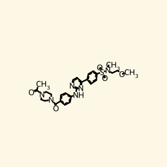 COCCN(C)S(=O)(=O)c1ccc(-c2ccnc(Nc3ccc(C(=O)N4CCN(C(C)=O)CC4)cc3)n2)cc1